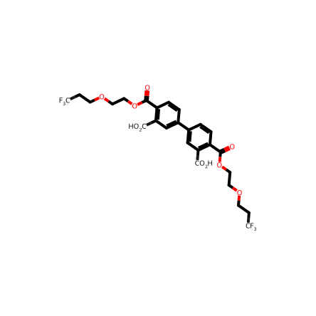 O=C(O)c1cc(-c2ccc(C(=O)OCCOCCC(F)(F)F)c(C(=O)O)c2)ccc1C(=O)OCCOCCC(F)(F)F